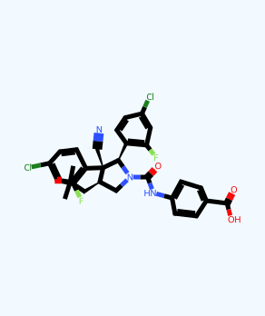 CC(C)(C)C[C@@H]1CN(C(=O)Nc2ccc(C(=O)O)cc2)[C@H](c2ccc(Cl)cc2F)[C@@]1(C#N)c1ccc(Cl)cc1F